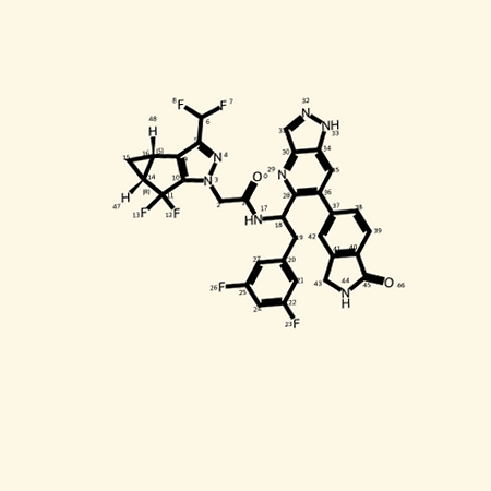 O=C(Cn1nc(C(F)F)c2c1C(F)(F)[C@@H]1C[C@H]21)NC(Cc1cc(F)cc(F)c1)c1nc2cn[nH]c2cc1-c1ccc2c(c1)CNC2=O